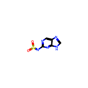 O=S(=O)=Nc1ncc2nc[nH]c2n1